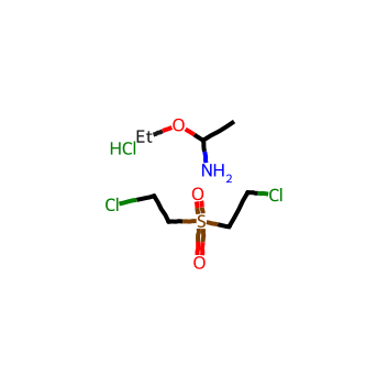 CCOC(C)N.Cl.O=S(=O)(CCCl)CCCl